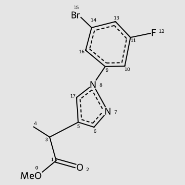 COC(=O)C(C)c1cnn(-c2cc(F)cc(Br)c2)c1